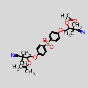 C=C(C)OC(COc1ccc(S(=O)(=O)c2ccc(OCC(OC(C)=O)C(C)(C)C#N)cc2)cc1)C(C)(C)C#N